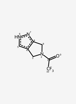 O=C(N1Cc2c[nH]nc2C1)C(F)(F)F